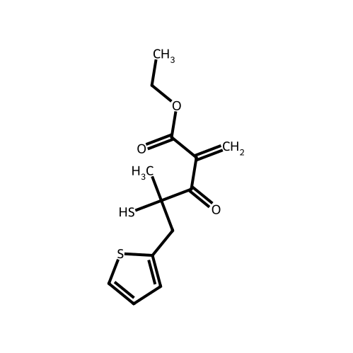 C=C(C(=O)OCC)C(=O)C(C)(S)Cc1cccs1